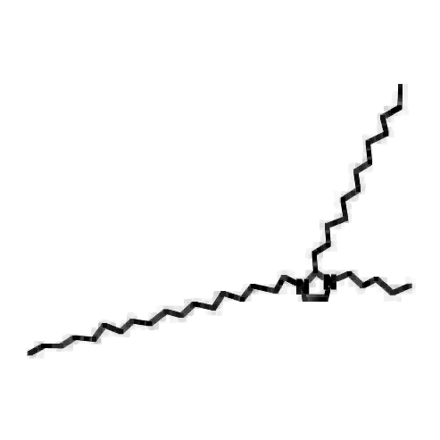 CCCCCCCCCCCCCCCCCCN1C=CN(CCCCC)C1CCCCCCCCCCCCC